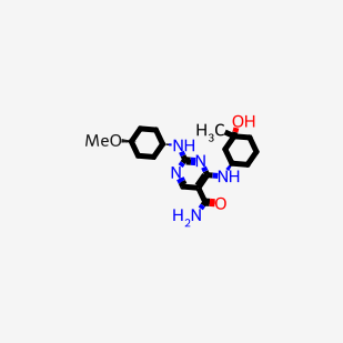 CO[C@H]1CC[C@H](Nc2ncc(C(N)=O)c(N[C@@H]3CCCC(C)(O)C3)n2)CC1